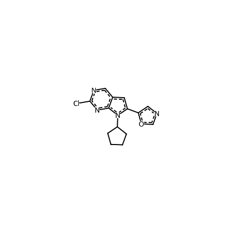 Clc1ncc2cc(-c3cnco3)n(C3CCCC3)c2n1